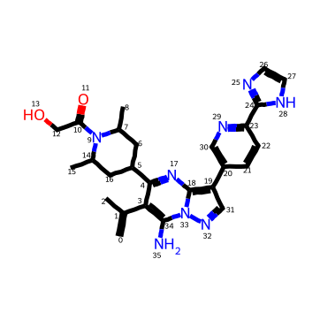 C=C(C)c1c(C2CC(C)N(C(=O)CO)C(C)C2)nc2c(-c3ccc(-c4ncc[nH]4)nc3)cnn2c1N